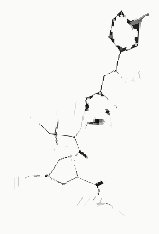 CNC(=O)C1CC(O)CN1C(=O)C(n1cc(CC(O)c2ccccc2)nn1)C(C)(C)C